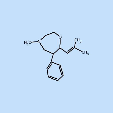 CC(C)=CC1OCCN(C)CC1c1ccccc1